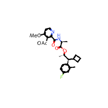 COc1ccnc(C(=O)N[C@@H](C)C(=O)O[C@@H](C)[C@H](c2ccc(F)cc2C)C2CCC2)c1OC(C)=O